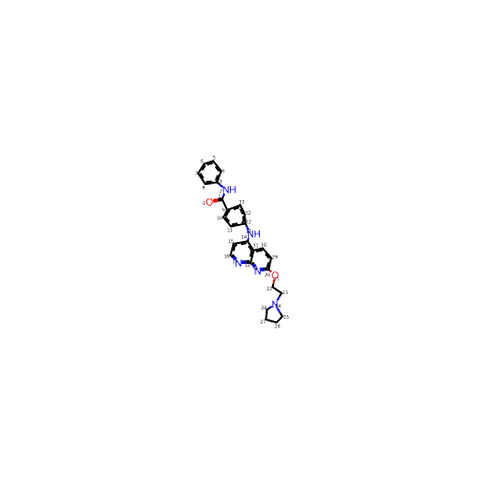 O=C(Nc1ccccc1)c1ccc(Nc2ccnc3nc(OCCN4CCCC4)ccc23)cc1